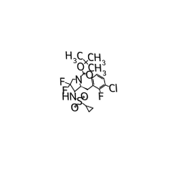 CC(C)(C)OC(=O)N1CC(F)(F)[C@H](NS(=O)(=O)C2CC2)[C@@H]1Cc1cccc(Cl)c1F